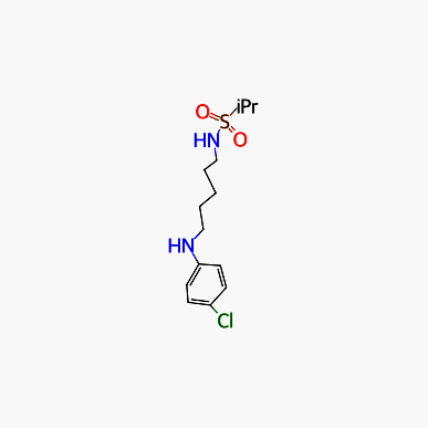 CC(C)S(=O)(=O)NCCCCCNc1ccc(Cl)cc1